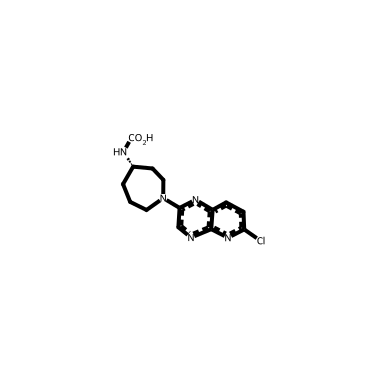 O=C(O)N[C@H]1CCCN(c2cnc3nc(Cl)ccc3n2)CC1